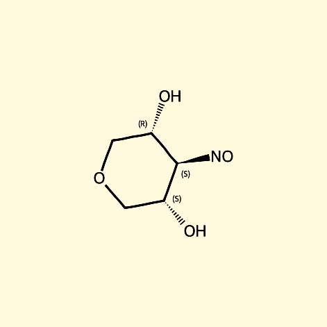 O=N[C@H]1[C@H](O)COC[C@@H]1O